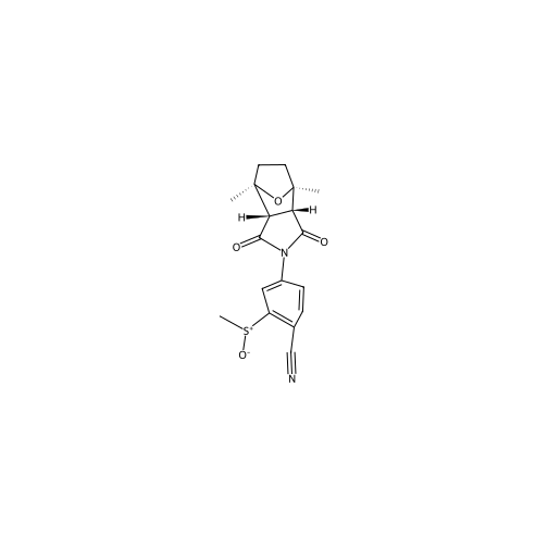 C[S+]([O-])c1cc(N2C(=O)[C@@H]3[C@H](C2=O)[C@@]2(C)CC[C@]3(C)O2)ccc1C#N